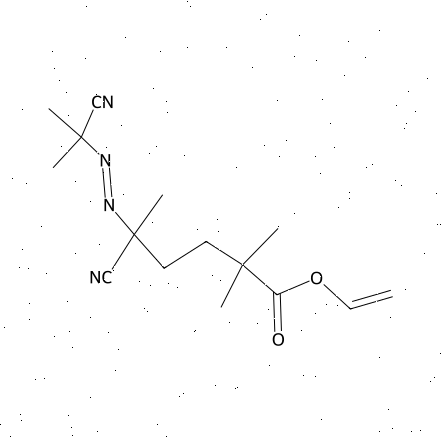 C=COC(=O)C(C)(C)CCC(C)(C#N)N=NC(C)(C)C#N